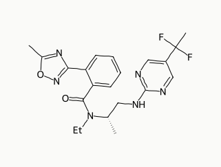 CCN(C(=O)c1ccccc1-c1noc(C)n1)[C@@H](C)CNc1ncc(C(C)(F)F)cn1